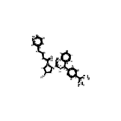 CC(C)c1ccc([C@@H](NC(=O)[C@@H]2C[C@@H](F)CN2C(=O)CCCc2cccnc2)c2ccccc2)cc1